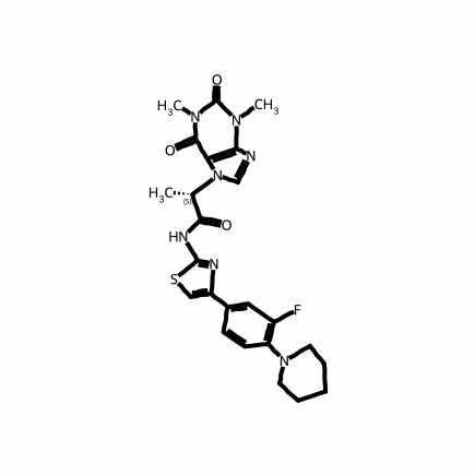 C[C@@H](C(=O)Nc1nc(-c2ccc(N3CCCCC3)c(F)c2)cs1)n1cnc2c1c(=O)n(C)c(=O)n2C